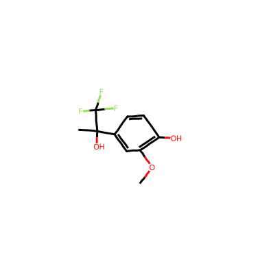 COc1cc(C(C)(O)C(F)(F)F)ccc1O